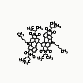 CCCCCCn1c2cc3c(=O)n(C(CC)CC)c(=O)c4ccc5c6c(-c7cc8c(=O)n(C(CC)CC)c(=O)c9cc%10c%11c(c7c7ccc%12c(=O)n(C(CC)CC)c(=O)c%13cc(c%11c7c%12%13)n%10CCCCCC)c89)cc7c(=O)n(C(CC)CC)c(=O)c8cc1c(c6c78)c2c5c43